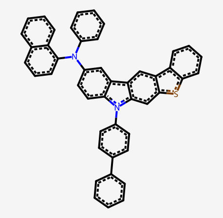 c1ccc(-c2ccc(-n3c4ccc(N(c5ccccc5)c5cccc6ccccc56)cc4c4cc5c(cc43)sc3ccccc35)cc2)cc1